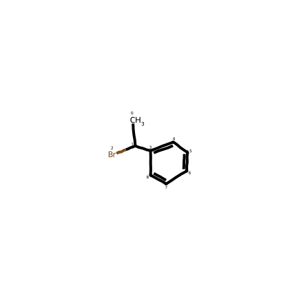 CC(Br)c1c[c]ccc1